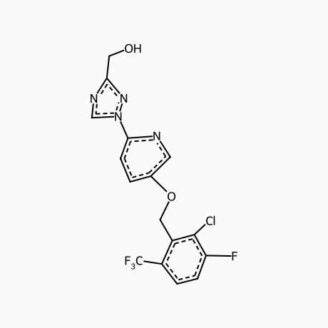 OCc1ncn(-c2ccc(OCc3c(C(F)(F)F)ccc(F)c3Cl)cn2)n1